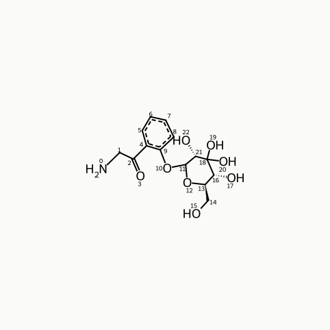 NCC(=O)c1ccccc1OC1O[C@H](CO)[C@@H](O)C(O)(O)[C@H]1O